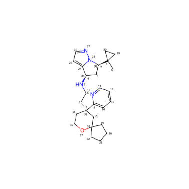 CC1([C@H]2C[C@@H](NCC[C@@]3(c4ccccn4)CCOC4(CCCC4)C3)c3ccnn32)CC1